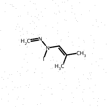 C=NN(I)C=C(C)C